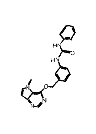 Cn1ccc2ncnc(OCc3cccc(NC(=O)Nc4ccccc4)c3)c21